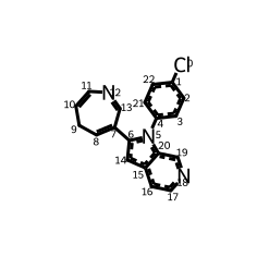 Clc1ccc(-n2c(C3=CCC=CN=C3)cc3ccncc32)cc1